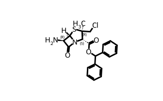 C[C@@]1(CCl)S[C@H]2[C@H](N)C(=O)N2[C@H]1C(=O)OC(c1ccccc1)c1ccccc1